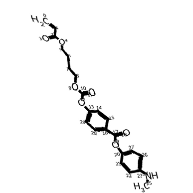 C=CC(=O)OCCCCOC(=O)Oc1ccc(C(=O)Oc2ccc(NC)cc2)cc1